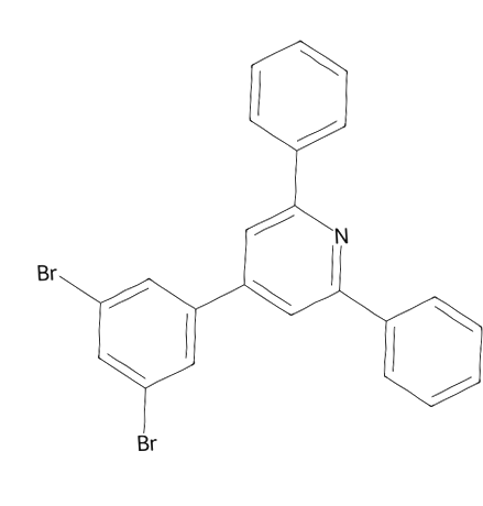 Brc1cc(Br)cc(-c2cc(-c3ccccc3)nc(-c3ccccc3)c2)c1